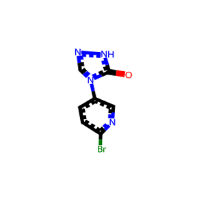 O=c1[nH]ncn1-c1ccc(Br)nc1